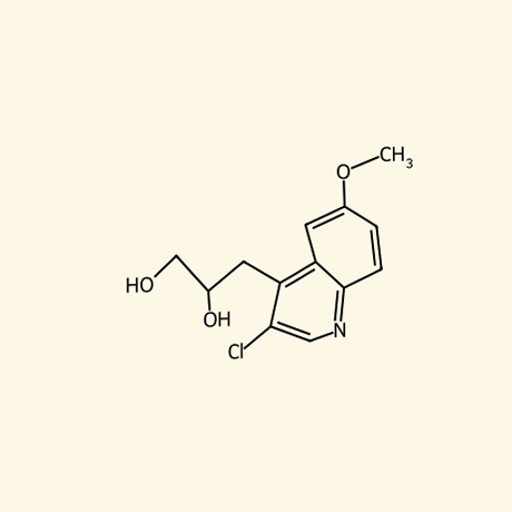 COc1ccc2ncc(Cl)c(CC(O)CO)c2c1